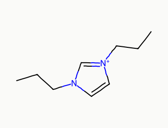 CCCn1cc[n+](CCC)c1